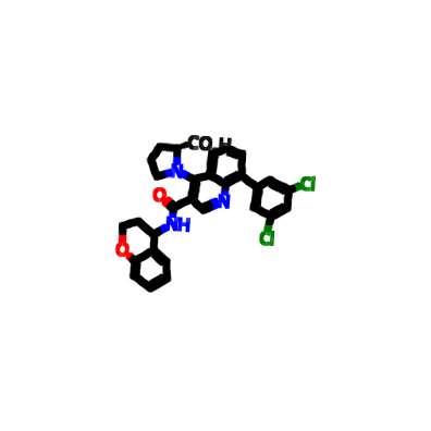 O=C(NC1CCOc2ccccc21)c1cnc2c(-c3cc(Cl)cc(Cl)c3)cccc2c1N1CCC[C@H]1C(=O)O